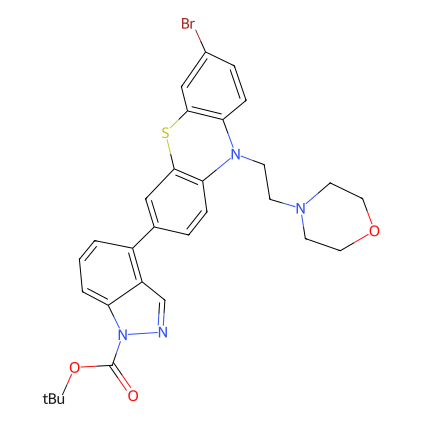 CC(C)(C)OC(=O)n1ncc2c(-c3ccc4c(c3)Sc3cc(Br)ccc3N4CCN3CCOCC3)cccc21